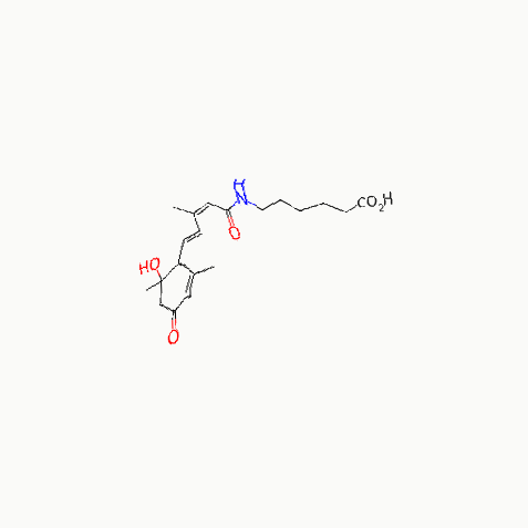 CC1=CC(=O)CC(C)(O)C1/C=C/C(C)=C\C(=O)NCCCCCC(=O)O